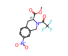 COC(=O)[C@@H]1Cc2ccc([N+](=O)[O-])cc2CN1C(=O)C(F)(F)F